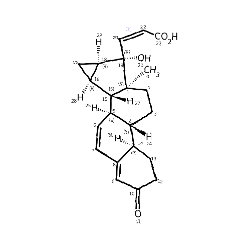 C[C@]12CC[C@H]3[C@@H](C=CC4=CC(=O)CC[C@@H]43)[C@@H]1[C@H]1C[C@H]1[C@@]2(O)/C=C\C(=O)O